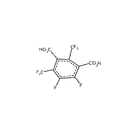 O=C(O)c1c(F)c(F)c(C(F)(F)F)c(C(=O)O)c1C(F)(F)F